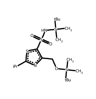 CC(C)c1nc(CO[Si](C)(C)C(C)(C)C)c(S(=O)(=O)N[Si](C)(C)C(C)(C)C)s1